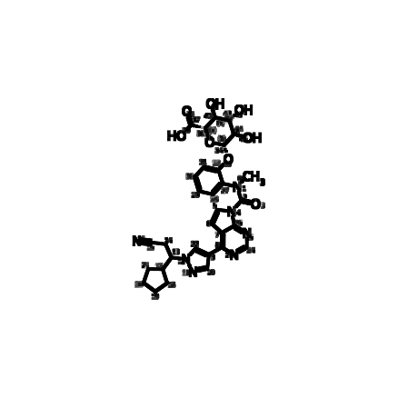 CN(C(=O)n1ccc2c(-c3cnn(C(CC#N)C4CCCC4)c3)ncnc21)c1ccccc1O[C@@H]1O[C@H](C(=O)O)[C@@H](O)[C@H](O)[C@H]1O